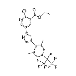 CCOC(=O)c1cc(-n2cc(-c3c(C)cc(C(F)(C(F)(F)F)C(F)(F)F)cc3C)cn2)cnc1Cl